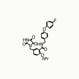 CCCOc1ccc(CN2C(=O)NC(=O)C2=O)cc1C(=O)NCc1ccc(Oc2ccc(F)cc2)cc1